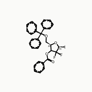 O=C(OC1[C@@H](COC(c2ccccc2)(c2ccccc2)c2ccccc2)O[C@@H](I)C1(F)F)c1ccccc1